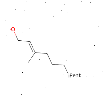 CCCC(C)CCC/C(C)=C/C[O]